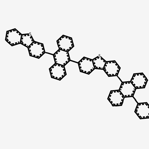 c1ccc(-c2c3ccccc3c(-c3ccc4sc5cc(-c6c7ccccc7c(-c7ccc8c(c7)sc7ccccc78)c7ccccc67)ccc5c4c3)c3ccccc23)cc1